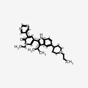 CCCN1CCC(c2ccc3[nH]c(-c4cc(-c5cncnc5)c(=O)n(CC)c4)c(C(C)C)c3c2)CC1